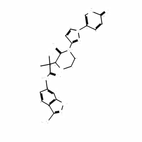 CC(O)(C(=O)Nc1ccc2c(N)noc2c1)C1OCCN(c2ccn(-c3ccc(=O)[nH]c3)n2)C1=O